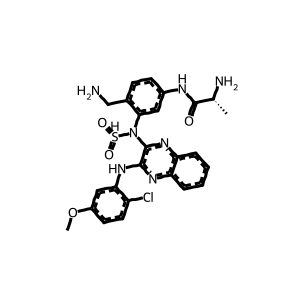 COc1ccc(Cl)c(Nc2nc3ccccc3nc2N(c2cc(NC(=O)[C@@H](C)N)ccc2CN)[SH](=O)=O)c1